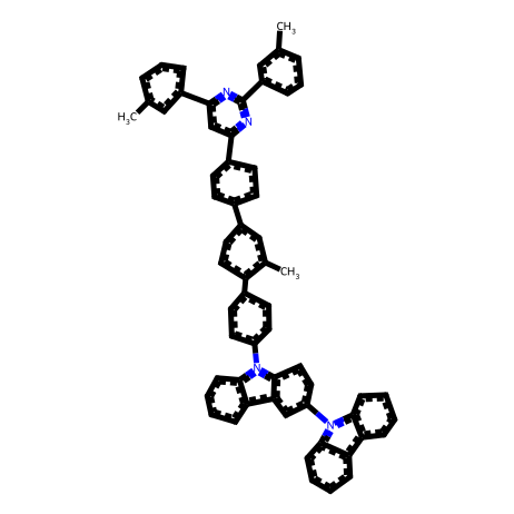 Cc1cccc(-c2cc(-c3ccc(-c4ccc(-c5ccc(-n6c7ccccc7c7cc(-n8c9ccccc9c9ccccc98)ccc76)cc5)c(C)c4)cc3)nc(-c3cccc(C)c3)n2)c1